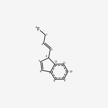 FCC=CC1C=Cc2c[c]ccc21